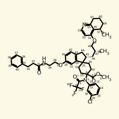 COC(=O)C1(N(C(=O)C(F)(F)F)c2cccc(Cl)c2)CCC2(CC1)c1cc(OCCNC(=O)CCc3ccccc3)ccc1C[C@@H]2C[C@@H](C)COc1ccnc2c1[C@H](C)CCC2